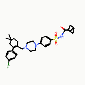 CC1(C)CCC(CN2CCN(c3ccc(S(=O)(=O)NC(=O)C45CC(C4)C5)cc3)CC2)=C(c2ccc(Cl)cc2)C1